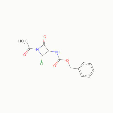 O=C(NC1C(=O)N(C(=O)C(=O)O)C1Cl)OCc1ccccc1